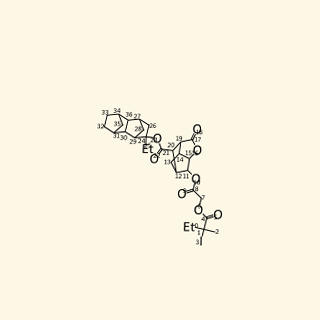 CCC(C)(I)C(=O)OCC(=O)OC1C2CC3C1OC(=O)C3C2C(=O)OC1(CC)CC2CC1C1C3CCC(C3)C21